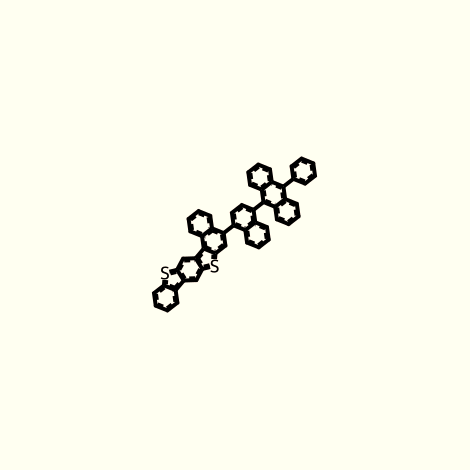 c1ccc(-c2c3ccccc3c(-c3ccc(-c4cc5sc6cc7c(cc6c5c5ccccc45)sc4ccccc47)c4ccccc34)c3ccccc23)cc1